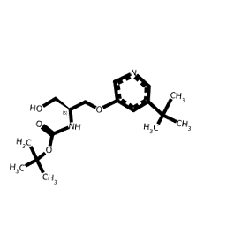 CC(C)(C)OC(=O)N[C@@H](CO)COc1cncc(C(C)(C)C)c1